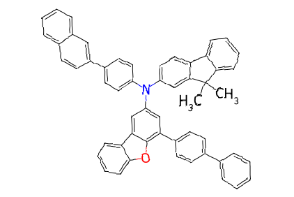 CC1(C)c2ccccc2-c2ccc(N(c3ccc(-c4ccc5ccccc5c4)cc3)c3cc(-c4ccc(-c5ccccc5)cc4)c4oc5ccccc5c4c3)cc21